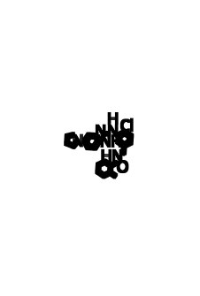 CC1CCCCC1C(=O)NCc1ccc(Cl)c(Nc2nc3cc(N4CCCC4)ccc3[nH]2)c1